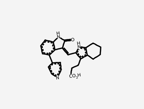 O=C(O)CCc1c(C=C2C(=O)Nc3cccc(-c4ccncc4)c32)[nH]c2c1CCCC2